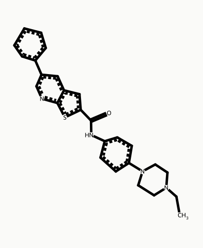 CCN1CCN(c2ccc(NC(=O)c3cc4cc(-c5ccccc5)cnc4s3)cc2)CC1